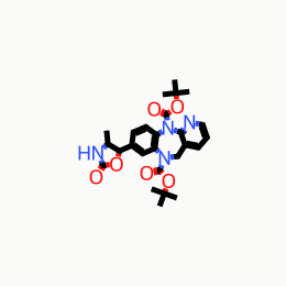 CC1NC(=O)OC1c1ccc2c(c1)N(C(=O)OC(C)(C)C)Cc1cccnc1N2C(=O)OC(C)(C)C